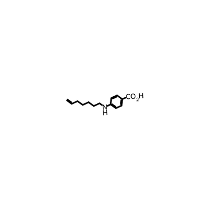 C=CCCCCCNc1ccc(C(=O)O)cc1